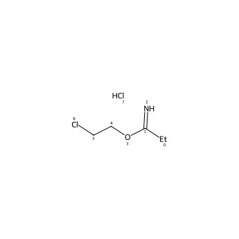 CCC(=N)OCCCl.Cl